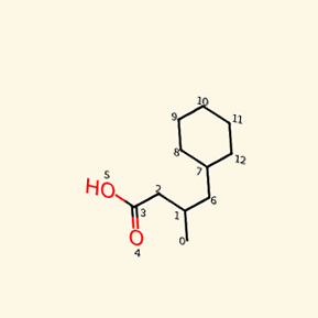 CC(CC(=O)O)CC1CCCCC1